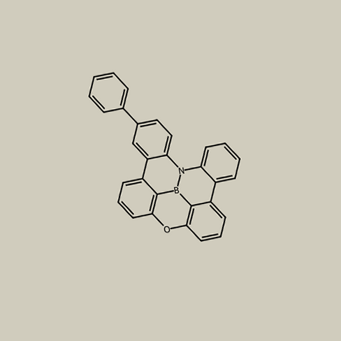 c1ccc(-c2ccc3c(c2)-c2cccc4c2B2c5c(cccc5-c5ccccc5N23)O4)cc1